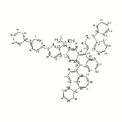 C[Si]1(C)c2cc(-c3ccc(-c4ccccc4)cc3)ccc2-c2cc3c(-c4ccc5c6c(cccc46)-c4ccccc4-5)c4ccccc4c(-c4ccc5c6c(cccc46)-c4ccccc4-5)c3cc21